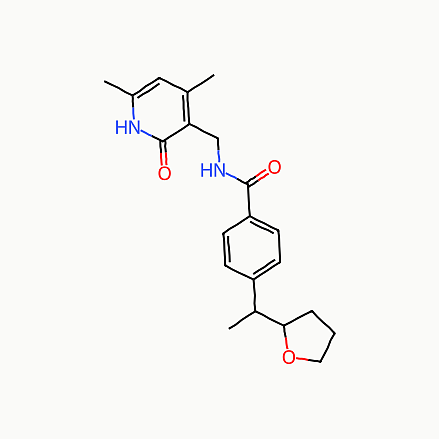 Cc1cc(C)c(CNC(=O)c2ccc(C(C)C3CCCO3)cc2)c(=O)[nH]1